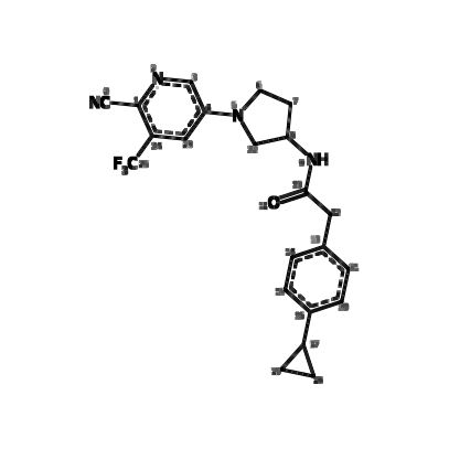 N#Cc1ncc(N2CCC(NC(=O)Cc3ccc(C4CC4)cc3)C2)cc1C(F)(F)F